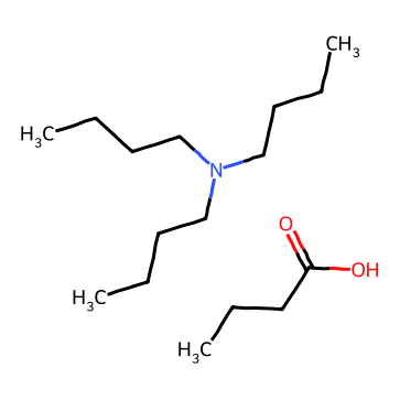 CCCC(=O)O.CCCCN(CCCC)CCCC